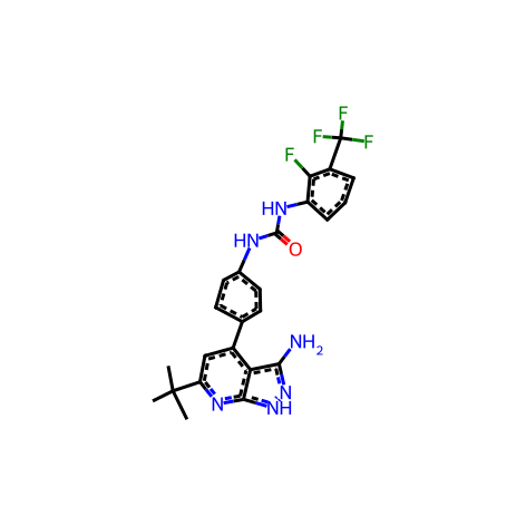 CC(C)(C)c1cc(-c2ccc(NC(=O)Nc3cccc(C(F)(F)F)c3F)cc2)c2c(N)n[nH]c2n1